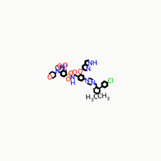 CN(c1ccc(S(=O)(=O)NC(=O)c2ccc(N3CCN(CC4=C(c5ccc(Cl)cc5)CC(C)(C)CC4)CC3)cc2Oc2cnc3[nH]ccc3c2)cc1[N+](=O)[O-])C1CCOCC1